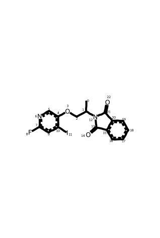 CC(COc1cnc(F)cc1I)N1C(=O)c2ccccc2C1=O